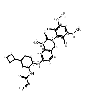 C=CC(=O)N[C@H]1CC(C2CCC2)CC[C@H]1Nc1ncc2c(n1)N(C)C(=O)N(c1c(Cl)c(OC(F)(F)F)cc(OC(F)(F)F)c1Cl)C2